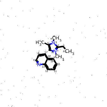 CCc1n(C)c(C)c[n+]1C.c1ccc2ncccc2c1